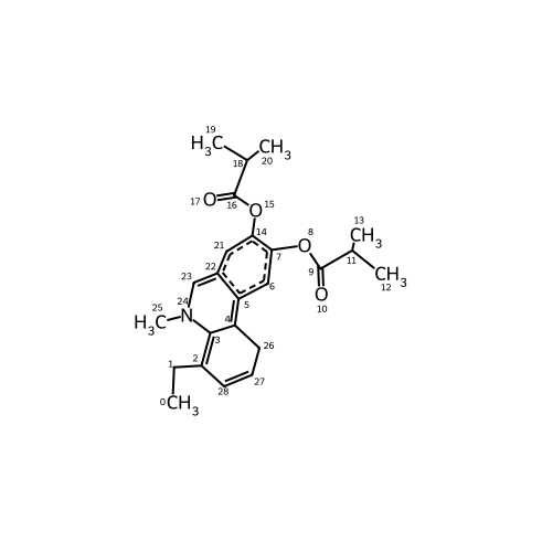 CCC1=C2C(=c3cc(OC(=O)C(C)C)c(OC(=O)C(C)C)cc3=CN2C)CC=C1